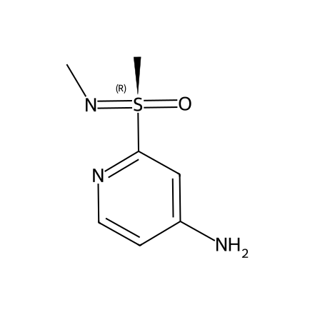 CN=[S@](C)(=O)c1cc(N)ccn1